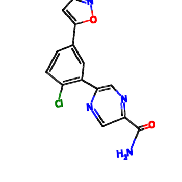 NC(=O)c1cnc(-c2cc(-c3ccno3)ccc2Cl)cn1